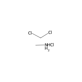 CN.Cl.ClCCl